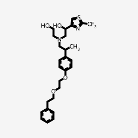 CC(CN(CCO)CC(O)c1csc(C(F)(F)F)n1)c1ccc(OCCOCCc2ccccc2)cc1